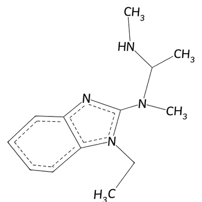 CCn1c(N(C)C(C)NC)nc2ccccc21